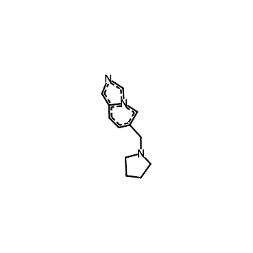 c1cc2cncn2cc1CN1CCCC1